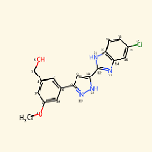 COc1cc(CO)cc(-c2cc(-c3nc4cc(Cl)ccc4[nH]3)[nH]n2)c1